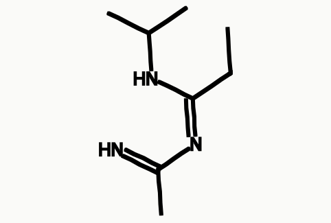 CC/C(=N/C(C)=N)NC(C)C